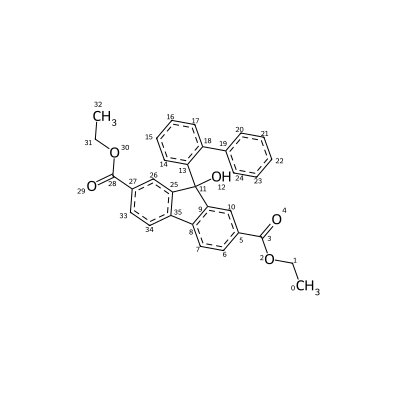 CCOC(=O)c1ccc2c(c1)C(O)(c1ccccc1-c1ccccc1)c1cc(C(=O)OCC)ccc1-2